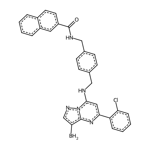 Bc1cnn2c(NCc3ccc(CNC(=O)c4ccc5ccccc5c4)cc3)cc(-c3ccccc3Cl)nc12